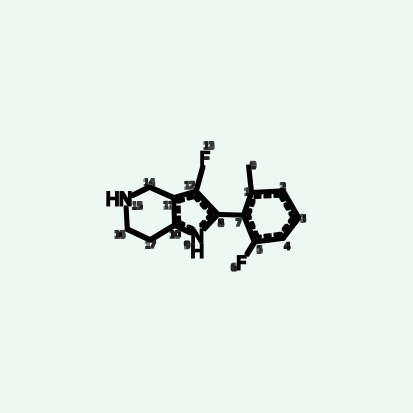 Cc1cccc(F)c1-c1[nH]c2c(c1F)CNCC2